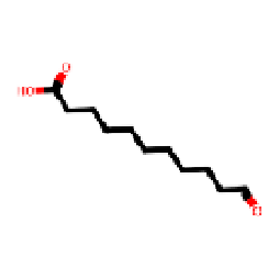 O=CCCCCCCCCCC(=O)O